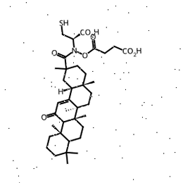 CC1(C(=O)N(OC(=O)CCC(=O)O)[C@@H](CS)C(=O)O)CC[C@]2(C)CC[C@]3(C)C(=CC(=O)C4[C@@]5(C)CCCC(C)(C)C5CC[C@]43C)[C@@H]2C1